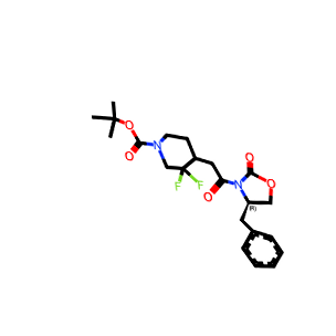 CC(C)(C)OC(=O)N1CCC(CC(=O)N2C(=O)OC[C@H]2Cc2ccccc2)C(F)(F)C1